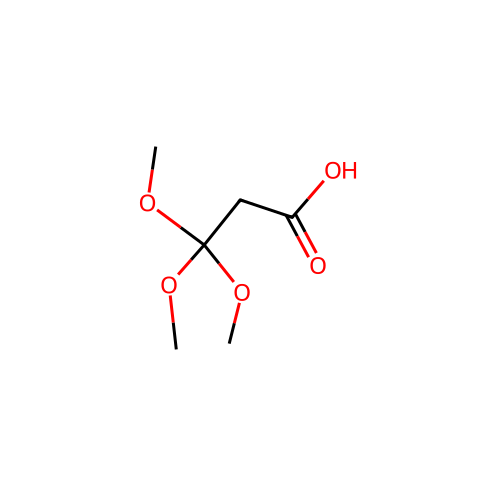 COC(CC(=O)O)(OC)OC